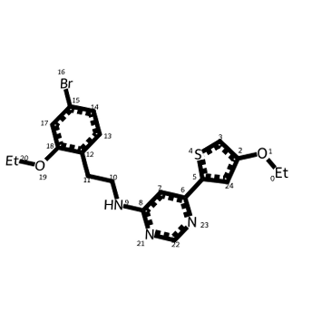 CCOc1csc(-c2cc(NCCc3ccc(Br)cc3OCC)ncn2)c1